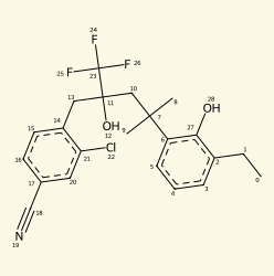 CCc1cccc(C(C)(C)CC(O)(Cc2ccc(C#N)cc2Cl)C(F)(F)F)c1O